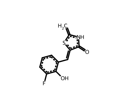 C=c1[nH]c(=O)/c(=C/c2cccc(F)c2O)s1